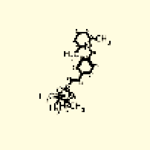 CC1CCCC(C)N1Cc1ccc(C=CB2OC(C)(C)C(C)(C)O2)cc1